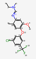 CCN(C)/C=N/c1cc(OC)c(Oc2cc(Cl)cc(C(F)(F)F)c2)cc1C